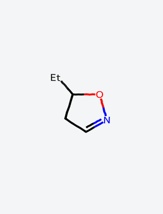 CCC1CC=NO1